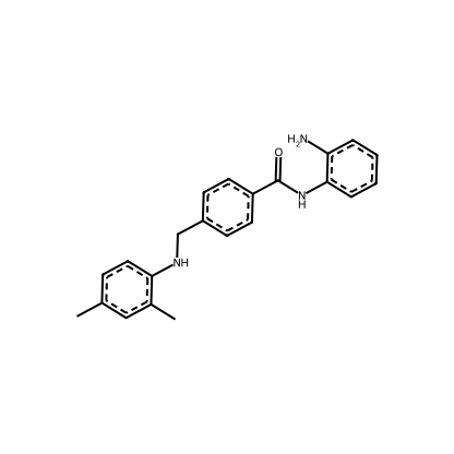 Cc1ccc(NCc2ccc(C(=O)Nc3ccccc3N)cc2)c(C)c1